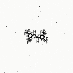 C[Si](C)(Nc1cc(C(F)(F)F)cc(C(F)(F)F)c1)Nc1cc(C(F)(F)F)cc(C(F)(F)F)c1